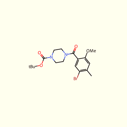 COc1cc(C)c(Br)cc1C(=O)N1CCN(C(=O)OC(C)(C)C)CC1